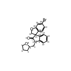 O=C1N(C[C@H]2CCCO2)c2ccccc2C12COc1cc(Br)ccc12